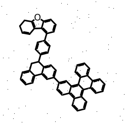 C1=Cc2c(oc3cccc(-c4ccc(C5Cc6ccccc6-c6cc(-c7ccc8c9ccccc9c9c%10ccccc%10c%10ccccc%10c9c8c7)ccc65)cc4)c23)CC1